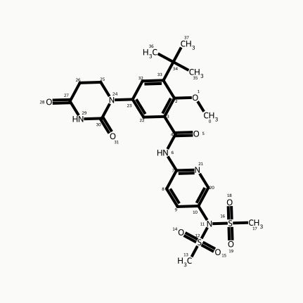 COc1c(C(=O)Nc2ccc(N(S(C)(=O)=O)S(C)(=O)=O)cn2)cc(N2CCC(=O)NC2=O)cc1C(C)(C)C